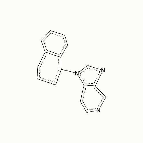 c1ccc2c(-n3cnc4cnccc43)cccc2c1